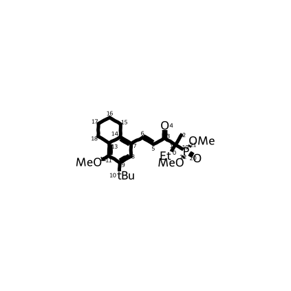 CCC(C)(C(=O)C=Cc1cc(C(C)(C)C)c(OC)c2c1CCCC2)P(=O)(OC)OC